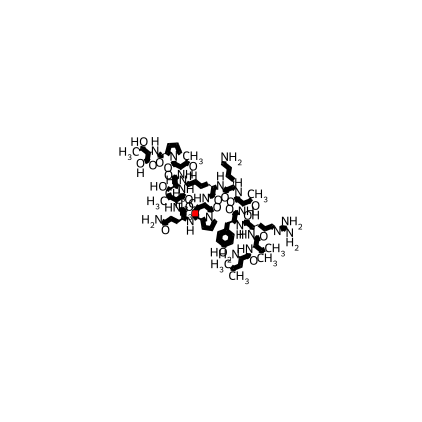 CC(C)C[C@H](N)C(=O)N[C@H](C(=O)N[C@@H](CCCN=C(N)N)C(=O)N[C@@H](Cc1ccc(O)cc1)C(=O)N[C@H](C(=O)N[C@@H](CCCCN)C(=O)N[C@@H](CCCCN)C(=O)N[C@H](C(=O)N1CCC[C@H]1C(=O)N[C@@H](CCC(N)=O)C(=O)N[C@H](C(=O)N[C@@H](CO)C(=O)N[C@H](C(=O)N1CCC[C@H]1C(=O)N[C@H](C(=O)O)[C@@H](C)O)[C@@H](C)O)C(C)C)C(C)C)[C@@H](C)O)C(C)C